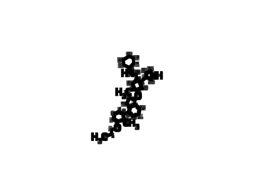 CCCOc1cccc(-c2cccc3c2CC[C@@H]3Oc2cc(-c3cc[nH]c3)c(CNC3CCCCC3)cc2C)c1C